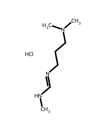 CNC=NCCCN(C)C.Cl